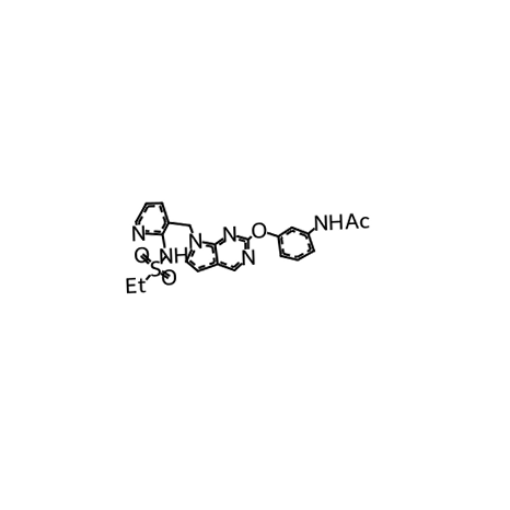 CCS(=O)(=O)Nc1ncccc1Cn1ccc2cnc(Oc3cccc(NC(C)=O)c3)nc21